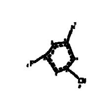 N#Cc1cc(F)[c]c(F)c1